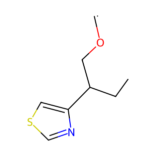 [CH2]OCC(CC)c1cscn1